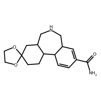 NC(=O)C1=CC2CNCC3CC4(CCC3C2C=C1)OCCO4